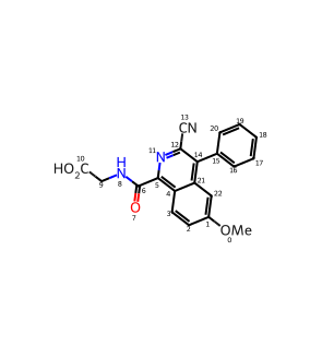 COc1ccc2c(C(=O)NCC(=O)O)nc(C#N)c(-c3ccccc3)c2c1